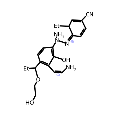 CCC1C=C(C#N)C=C/C1=N/N(N)c1ccc(C(CC)OCCO)c(/C=C\N)c1O